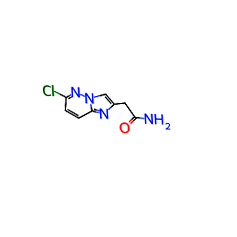 NC(=O)Cc1cn2nc(Cl)ccc2n1